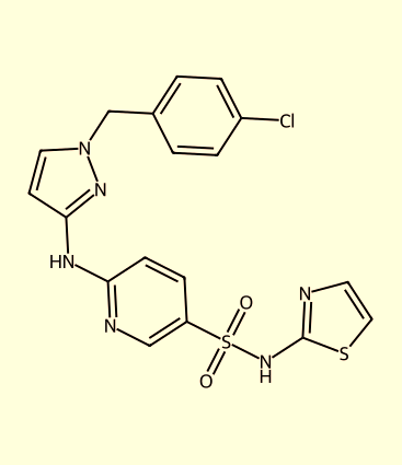 O=S(=O)(Nc1nccs1)c1ccc(Nc2ccn(Cc3ccc(Cl)cc3)n2)nc1